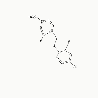 CC(=O)c1ccc(OCc2ccc(C(=O)O)cc2F)c(F)c1